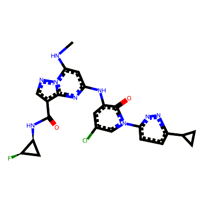 CNc1cc(Nc2cc(Cl)cn(-c3ccc(C4CC4)nn3)c2=O)nc2c(C(=O)N[C@H]3C[C@H]3F)cnn12